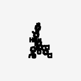 CCC(=O)N1CCCC(n2c(=O)c(-c3ccc(Cl)cc3Cl)c(C)c3cnc(Nc4ccc(N5CCN(C)CC5)c(C)c4)nc32)C1